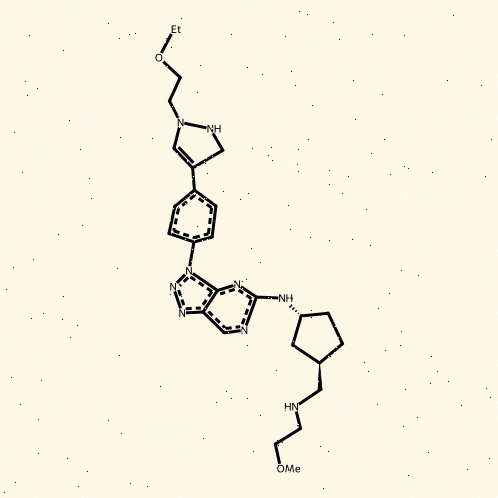 CCOCCN1C=C(c2ccc(-n3nnc4cnc(N[C@@H]5CC[C@@H](CNCCOC)C5)nc43)cc2)CN1